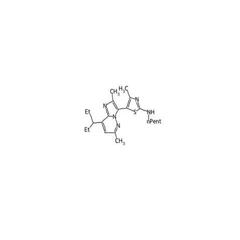 CC[CH]CCNc1nc(C)c(-c2c(C)nc3c(C(CC)CC)cc(C)nn23)s1